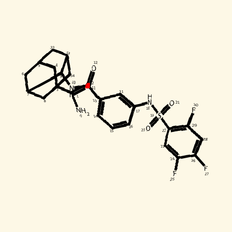 NC(=O)C12CC3CC(C1)C(NC(=O)c1cccc(NS(=O)(=O)c4cc(F)c(F)cc4F)c1)C(C3)C2